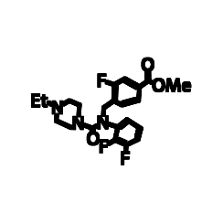 CCN1CCN(C(=O)N(Cc2ccc(C(=O)OC)cc2F)c2cccc(F)c2F)CC1